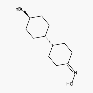 CCCC[C@H]1CC[C@H](C2CCC(=NO)CC2)CC1